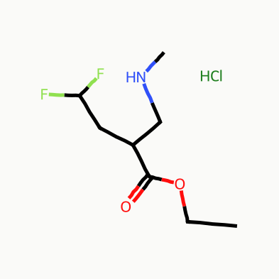 CCOC(=O)C(CNC)CC(F)F.Cl